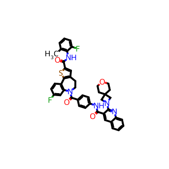 Cc1cccc(F)c1NC(=O)c1cc2c(s1)-c1ccc(F)cc1N(C(=O)c1ccc(NC(=O)c3cc4ccccc4nc3N3CC4(CCOCC4)C3)cc1)CC2